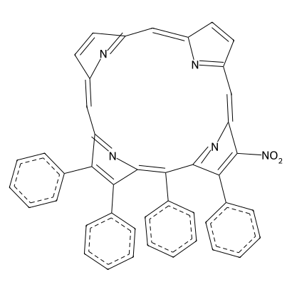 O=[N+]([O-])C1=C(c2ccccc2)C2=NC1=CC1=NC(=CC3=NC(=CC4=NC(=C2c2ccccc2)C(c2ccccc2)=C4c2ccccc2)C=C3)C=C1